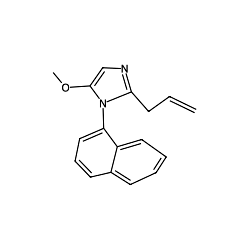 C=CCc1ncc(OC)n1-c1cccc2ccccc12